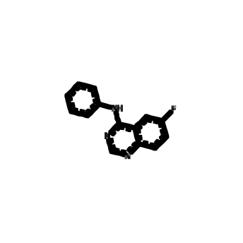 Fc1ccc2ncnc(Nc3ccccc3)c2c1